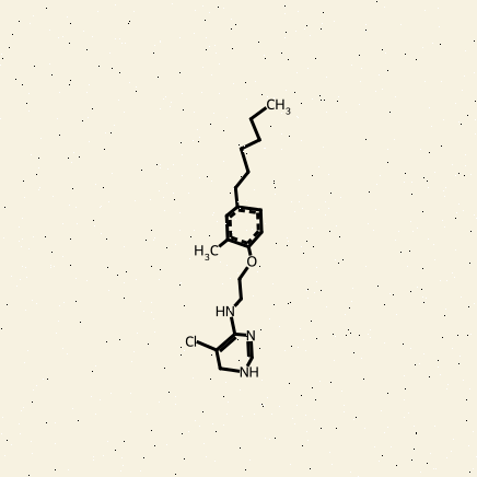 CCCCCCc1ccc(OCCNC2=C(Cl)CNC=N2)c(C)c1